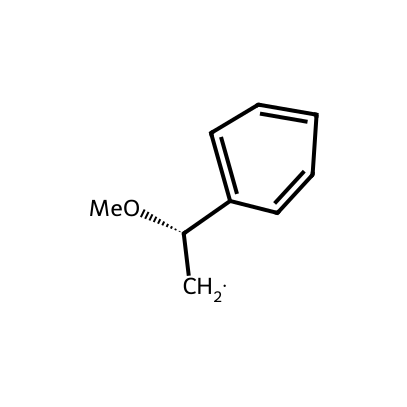 [CH2][C@H](OC)c1ccccc1